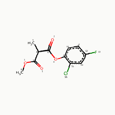 COC(=O)C(C)C(=O)Oc1ccc(F)cc1Cl